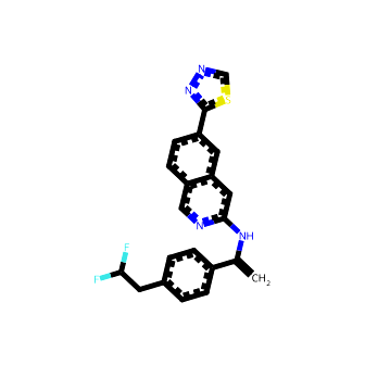 C=C(Nc1cc2cc(-c3nncs3)ccc2cn1)c1ccc(CC(F)F)cc1